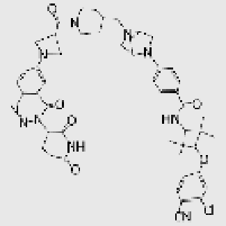 CC1(C)C(NC(=O)c2ccc(N3CC4CC3CN4CC3CCN(C(=O)C4CN(c5ccc6nnn(C7CCC(=O)NC7=O)c(=O)c6c5)C4)CC3)cc2)C(C)(C)C1Oc1ccc(C#N)c(Cl)c1